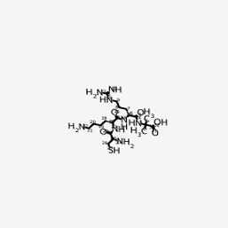 CC(C)(NC(=O)[C@H](CCCNC(=N)N)NC(=O)[C@H](CCCCN)NC(=O)[C@@H](N)CS)C(=O)O